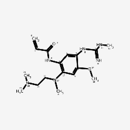 C=CC(=O)Nc1cc(NC(=N)NC)c(OC)cc1N(C)CCN(C)C